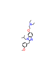 CCN(CC)CCOc1ccc2nc(Cc3cccc(OC)c3)n(CC(C)C)c2c1